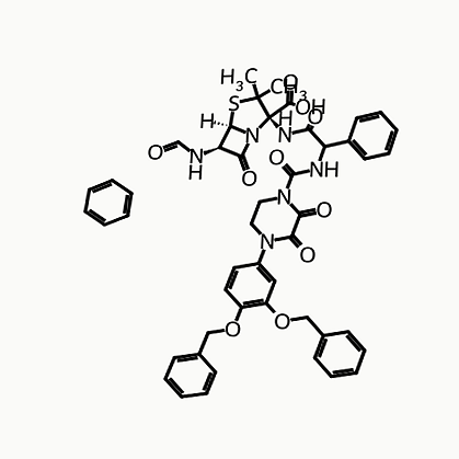 CC1(C)S[C@@H]2[C@H](NC=O)C(=O)N2[C@@]1(NC(=O)C(NC(=O)N1CCN(c2ccc(OCc3ccccc3)c(OCc3ccccc3)c2)C(=O)C1=O)c1ccccc1)C(=O)O.c1ccccc1